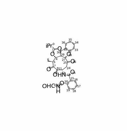 CC(C)C(=O)O[C@@H]1[C@H](C)C(=O)C(=O)[C@@H](NC(=O)c2ccccc2ONC=O)CC(=O)C(=O)[C@@H]1Cc1ccccc1